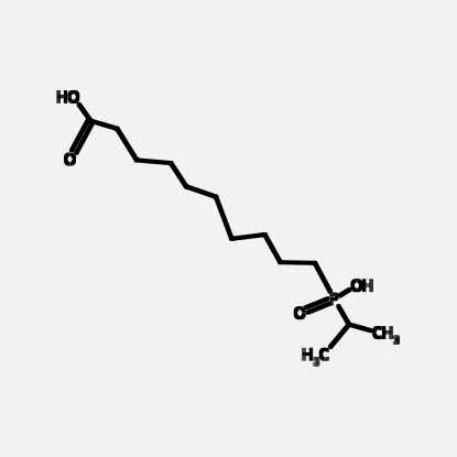 CC(C)P(=O)(O)CCCCCCCCCC(=O)O